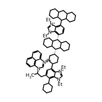 CCn1c[n+](CC)c2c(C3CCC([C@H]4C5CCCCC5[C@@H](c5ccc(C6C7CCCCC7CC7CCCCC76)c6c5n(CC)c[n+]6CC)C5CCCCC54)CC3)cc(CC(C)N3C=[N+](C(C)C)c4cccc5cccc3c45)c(C3CCCCC3)c21